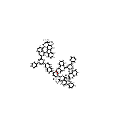 CC1(C)CCC2(C)c3cccc4cc(-c5nc(-c6ccccc6)nc(-c6ccc7cc(C8C=CC(C9CC(C)(C)c%10c(ccc%11c%12ccccc%12n(C%12=CC=C%13C(C%14N=C(c%15ccccc%15)N=C(C%15Cc%16ccccc%16-c%16ccccc%16%15)N%14)=CC=CC%13C%12)c%10%11)C9(C)C)=CC8)ccc7c6)n5)cc(c34)-n3c4ccccc4c4ccc1c2c43